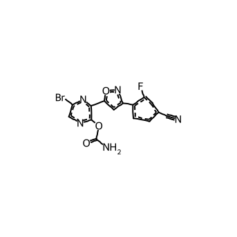 N#Cc1ccc(-c2cc(-c3nc(Br)cnc3OC(N)=O)on2)c(F)c1